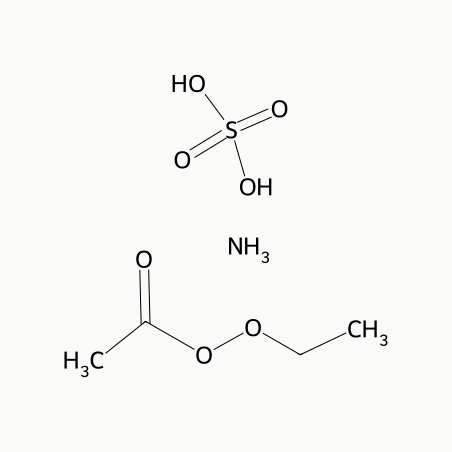 CCOOC(C)=O.N.O=S(=O)(O)O